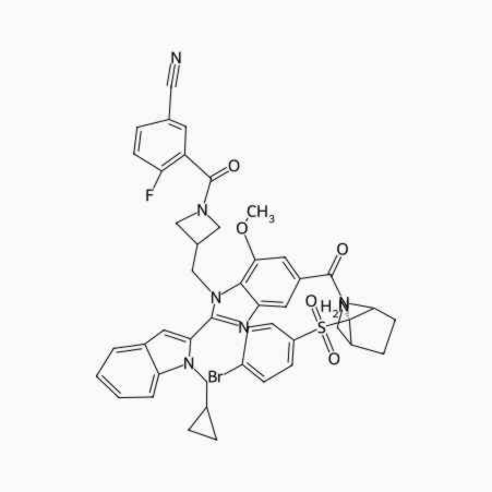 COc1cc(C(=O)N2CC3CCC2[C@]3(N)S(=O)(=O)c2ccc(Br)cc2)cc2nc(-c3cc4ccccc4n3CC3CC3)n(CC3CN(C(=O)c4cc(C#N)ccc4F)C3)c12